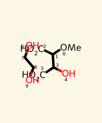 COC(C(=O)O)C(O)C(=O)O.OCCO